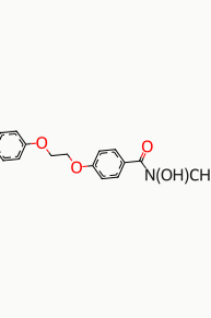 CN(O)C(=O)c1ccc(OCCOc2ccccc2)cc1